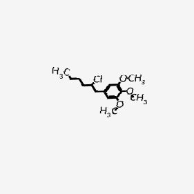 CCCCC(Cl)Cc1cc(OC)c(OC)c(OC)c1